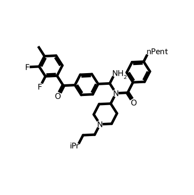 CCCCCc1ccc(C(=O)N(C2CCN(CCC(C)C)CC2)C(N)c2ccc(C(=O)c3ccc(C)c(F)c3F)cc2)cc1